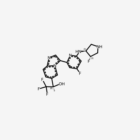 C[C@@](O)(c1ccc2ncc(-c3cc(F)cc(N[C@H]4CNC[C@@H]4F)n3)n2c1)C(F)(F)F